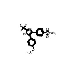 COc1ccc(-c2[nH]c(C(F)(F)F)nc2-c2ccc(S(N)(=O)=O)cc2)cc1